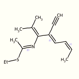 C#C/C(=C\C=C/C)C(/N=C(\C)SCC)=C(C)C